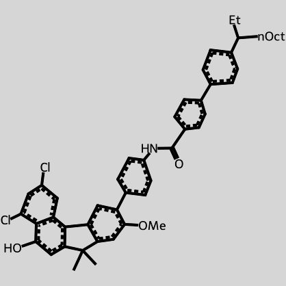 CCCCCCCCC(CC)c1ccc(-c2ccc(C(=O)Nc3ccc(-c4cc5c(cc4OC)C(C)(C)c4cc(O)c6c(Cl)cc(Cl)cc6c4-5)cc3)cc2)cc1